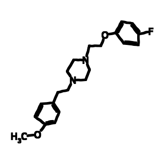 COc1ccc(CCN2CCN(CCOc3ccc(F)cc3)CC2)cc1